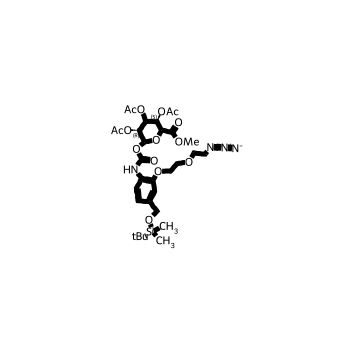 COC(=O)C1OC(OC(=O)Nc2ccc(CO[Si](C)(C)C(C)(C)C)cc2OCCOCCN=[N+]=[N-])[C@H](OC(C)=O)C(OC(C)=O)[C@@H]1OC(C)=O